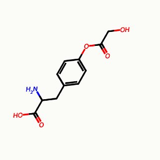 NC(Cc1ccc(OC(=O)CO)cc1)C(=O)O